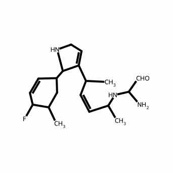 CC(/C=C\C(C)C1=CCNC1C1C=CC(F)C(C)C1)NC(N)C=O